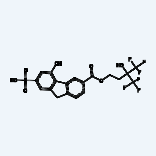 O=C(OCCC(O)(C(F)(F)F)C(F)(F)F)c1ccc2c(c1)-c1c(O)cc(S(=O)(=O)O)cc1C2